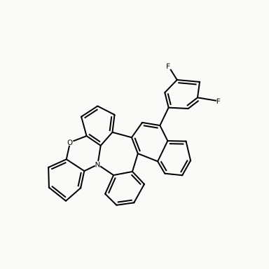 Fc1cc(F)cc(-c2cc3c(c4ccccc24)-c2ccccc2N2c4ccccc4Oc4cccc-3c42)c1